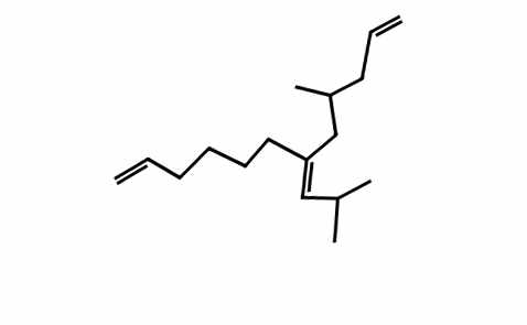 C=CCCCCC(=CC(C)C)CC(C)CC=C